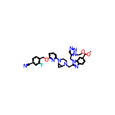 CCn1nncc1Cn1c(CN2CCN(c3cccc(OCc4ccc(C#N)cc4F)n3)C3CC32)nc2ccc(C(=O)OC)cc21